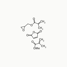 C=C(C)C(=O)OC.C=C(C)C(=O)OCC1CO1.O=C1C=CC(=O)O1